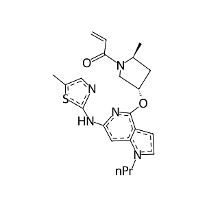 C=CC(=O)N1C[C@@H](Oc2nc(Nc3ncc(C)s3)cc3c2ccn3CCC)C[C@@H]1C